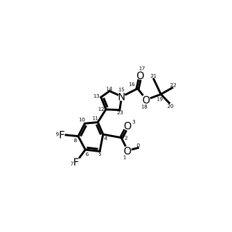 COC(=O)c1cc(F)c(F)cc1C1=CCN(C(=O)OC(C)(C)C)C1